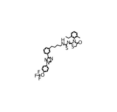 CCc1cccc(C)c1N1C(=O)CS/C1=N\C(=S)NCCCCc1cccc(-c2ncn(-c3ccc(OC(F)(F)F)cc3)n2)c1